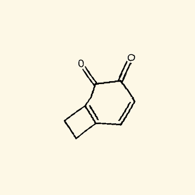 O=C1C=CC2=C(CC2)C1=O